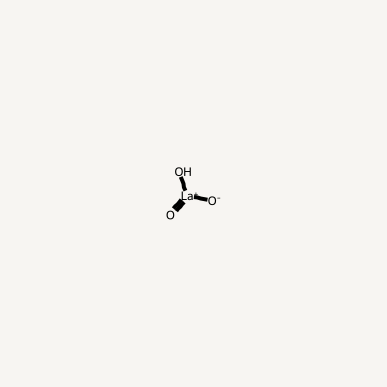 [O]=[La+]([O-])[OH]